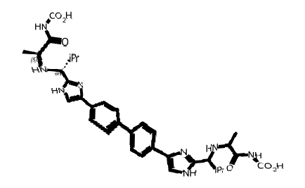 CC(NC(c1nc(-c2ccc(-c3ccc(-c4c[nH]c([C@H](N[C@@H](C)C(=O)NC(=O)O)C(C)C)n4)cc3)cc2)c[nH]1)C(C)C)C(=O)NC(=O)O